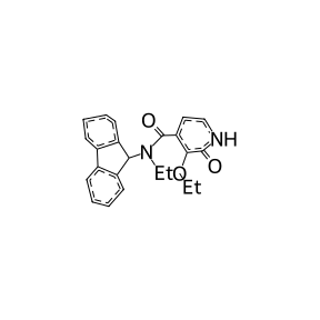 CCOc1c(C(=O)N(CC)C2c3ccccc3-c3ccccc32)cc[nH]c1=O